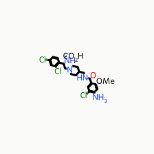 COc1cc(N)c(Cl)cc1C(=O)NCC1CCN(CC(NC(=O)O)c2ccc(Cl)cc2Cl)CC1